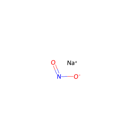 O=N[O-].[Na+]